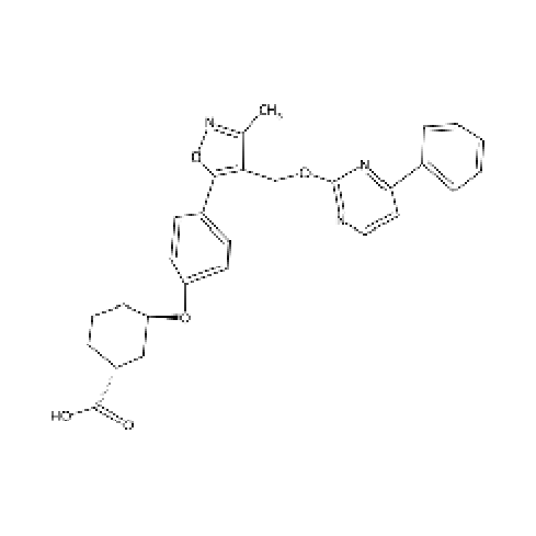 Cc1noc(-c2ccc(O[C@@H]3CCC[C@@H](C(=O)O)C3)cc2)c1COc1nccc(-c2ccccc2)n1